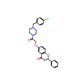 O=C1CC(c2ccccc2)Oc2ccc(OCC(=O)N3CCN(Cc4ccc(Cl)cc4)CC3)cc21